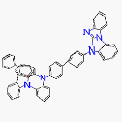 c1ccc(-c2ccc(N(c3ccc(-c4ccc(-n5c6ccccc6n6c7ccccc7nc56)cc4)cc3)c3ccccc3-n3c4ccccc4c4ccccc43)cc2)cc1